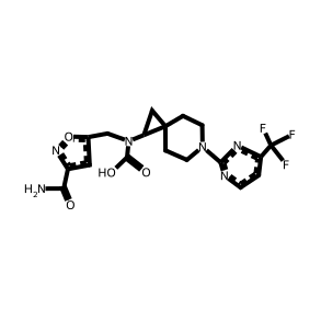 NC(=O)c1cc(CN(C(=O)O)C2CC23CCN(c2nccc(C(F)(F)F)n2)CC3)on1